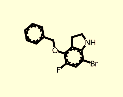 Fc1cc(Br)c2c(c1OCc1ccccc1)CCN2